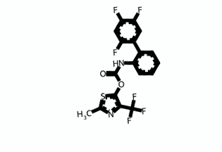 Cc1nc(C(F)(F)F)c(OC(=O)Nc2ccccc2-c2cc(F)c(F)cc2F)s1